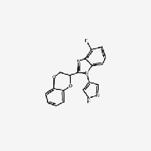 Fc1cccc2c1nc(C1COc3ccccc3O1)n2-c1cn[nH]c1